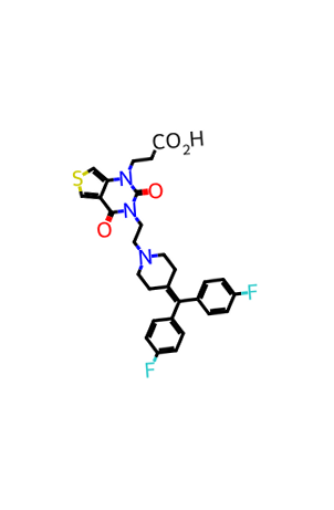 O=C(O)CCn1c(=O)n(CCN2CCC(=C(c3ccc(F)cc3)c3ccc(F)cc3)CC2)c(=O)c2cscc21